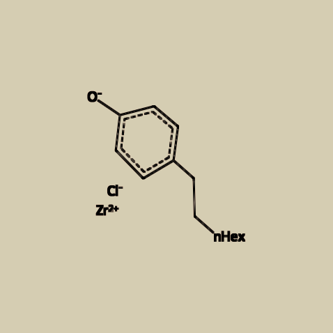 CCCCCCCCc1ccc([O-])cc1.[Cl-].[Zr+2]